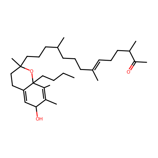 CCCCC12OC(C)(CCCC(C)CCC/C(C)=C/CCC(C)C(C)=O)CCC1=CC(O)C(C)=C2C